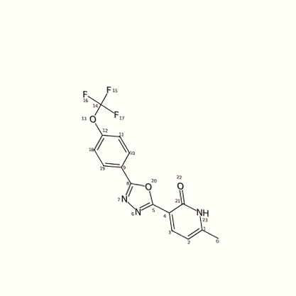 Cc1ccc(-c2nnc(-c3ccc(OC(F)(F)F)cc3)o2)c(=O)[nH]1